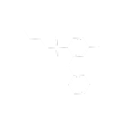 CCCOS(=O)(=O)c1ccc(C)cc1Oc1ccccc1